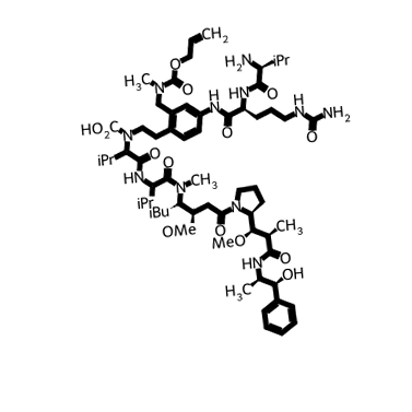 C=CCOC(=O)N(C)Cc1cc(NC(=O)[C@H](CCCNC(N)=O)NC(=O)[C@@H](N)C(C)C)ccc1CCN(C(=O)O)C(C(=O)NC(C(=O)N(C)C([C@@H](C)CC)[C@@H](CC(=O)N1CCC[C@H]1[C@H](OC)[C@@H](C)C(=O)N[C@H](C)[C@@H](O)c1ccccc1)OC)C(C)C)C(C)C